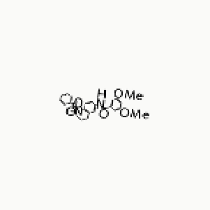 COc1cc(OC)cc(C(=O)Nc2ccc3c(c2)CCCN3S(=O)(=O)c2ccccc2)c1